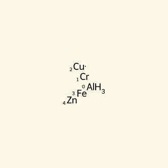 [AlH3].[Cr].[Cu].[Fe].[Zn]